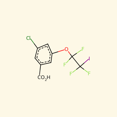 O=C(O)c1cc(Cl)cc(OC(F)(F)C(F)(F)I)c1